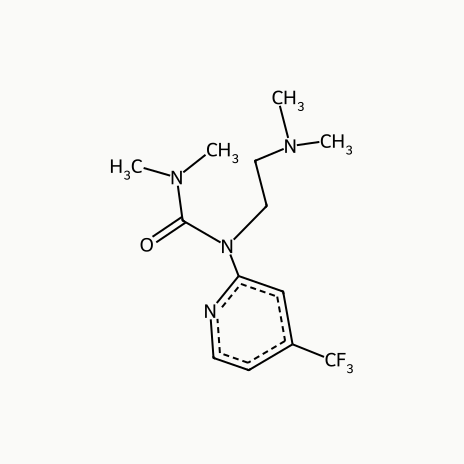 CN(C)CCN(C(=O)N(C)C)c1cc(C(F)(F)F)ccn1